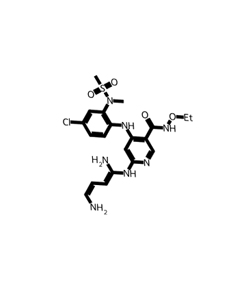 CCONC(=O)c1cnc(N/C(N)=C/C=C\N)cc1Nc1ccc(Cl)cc1N(C)S(C)(=O)=O